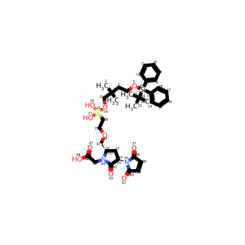 CC(C)(CCO[Si](c1ccccc1)(c1ccccc1)C(C)(C)C)COS(O)(O)CCOC[C@@H]1C[C@H](N2C(=O)C=CC2=O)C(=O)N1CC(=O)O